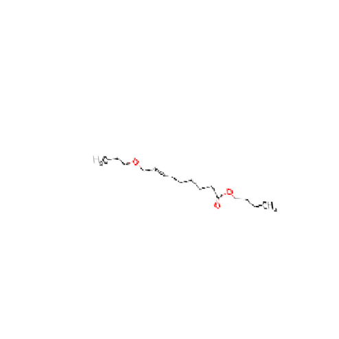 CCCCOC(=O)CCCCC/C=C/COCCC